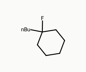 CCCCC1(F)CCCCC1